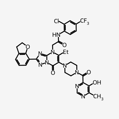 CCc1c(N2CCN(C(=O)c3ncnc(C)c3O)CC2)c(=O)n2nc(-c3cccc4c3OCC4)nc2n1CC(=O)Nc1ccc(C(F)(F)F)cc1Cl